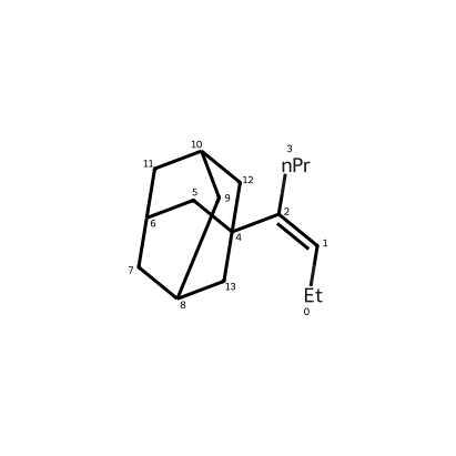 CC/C=C(/CCC)C12CC3CC(CC(C3)C1)C2